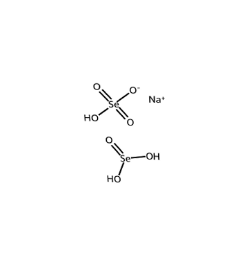 O=[Se](=O)([O-])O.O=[Se](O)O.[Na+]